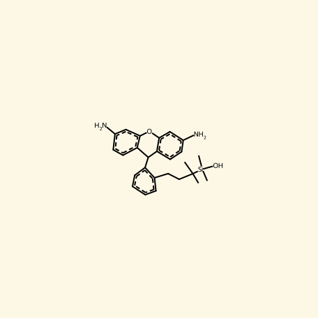 CC(C)(CCc1ccccc1C1c2ccc(N)cc2Oc2cc(N)ccc21)[Si](C)(C)O